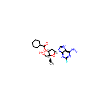 C#C[C@]1(CO)O[C@@H](n2cnc3c(N)nc(F)nc32)C[C@@H]1OC(=O)C1CCCCC1